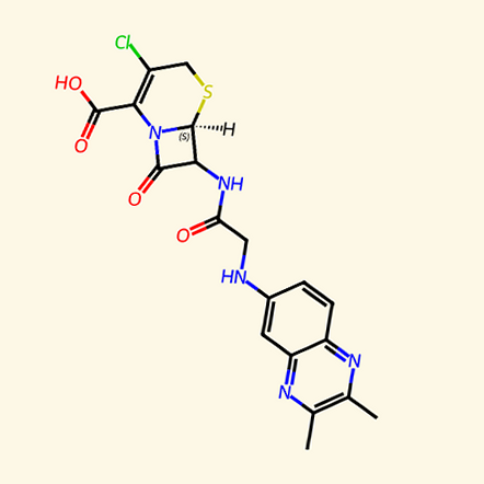 Cc1nc2ccc(NCC(=O)NC3C(=O)N4C(C(=O)O)=C(Cl)CS[C@@H]34)cc2nc1C